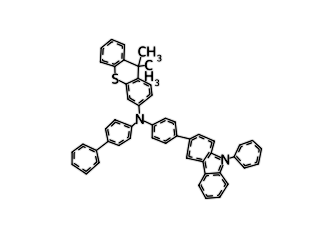 CC1(C)c2ccccc2Sc2cc(N(c3ccc(-c4ccccc4)cc3)c3ccc(-c4ccc5c(c4)c4ccccc4n5-c4ccccc4)cc3)ccc21